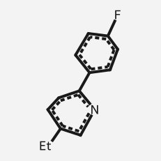 CCc1ccc(-c2ccc(F)cc2)nc1